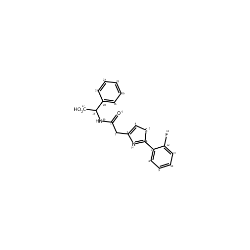 O=C(Cc1csc(-c2ccccc2F)n1)NC(C(=O)O)c1ccccc1